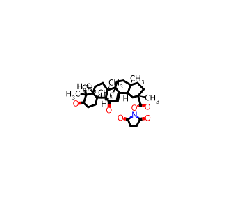 CC1(C)C(=O)CC[C@]2(C)[C@H]3C(=O)C=C4[C@H]5C[C@@](C)(C(=O)ON6C(=O)CCC6=O)CC[C@]5(C)CC[C@@]4(C)[C@]3(C)CC[C@@]12C